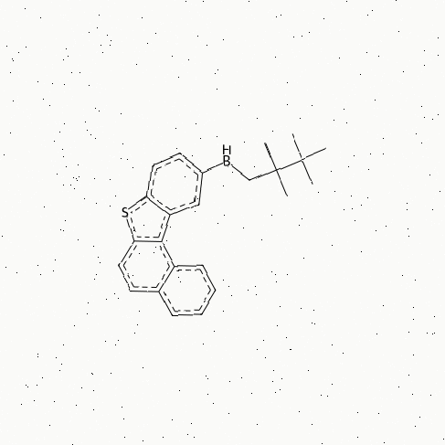 CC(C)(C)C(C)(C)CBc1ccc2sc3ccc4ccccc4c3c2c1